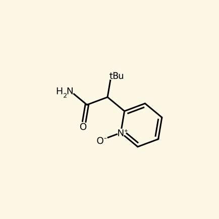 [CH2]C(C)(C)C(C(N)=O)c1cccc[n+]1[O-]